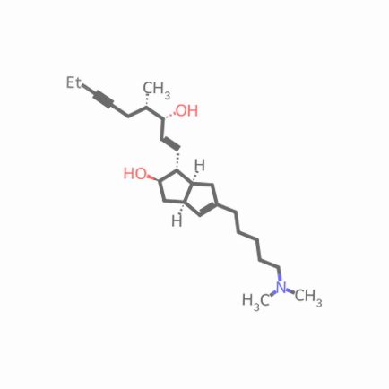 CCC#CC[C@H](C)[C@H](O)/C=C/[C@@H]1[C@H]2CC(CCCCCN(C)C)=C[C@H]2C[C@H]1O